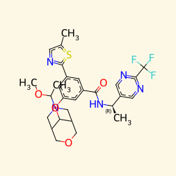 COC(C)N1CC2COCC(C1)C2Oc1cc(C(=O)N[C@H](C)c2cnc(C(F)(F)F)nc2)cc(-c2ncc(C)s2)c1